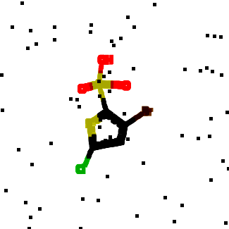 O=S(=O)(O)c1sc(Cl)cc1Br